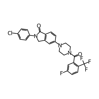 O=C(c1cc(F)ccc1C(F)(F)F)N1CCN(c2ccc3c(c2)CN(c2ccc(Cl)cc2)C3=O)CC1